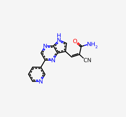 N#CC(=Cc1c[nH]c2ncc(-c3cccnc3)nc12)C(N)=O